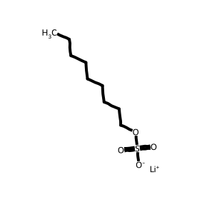 CCCCCCCCCOS(=O)(=O)[O-].[Li+]